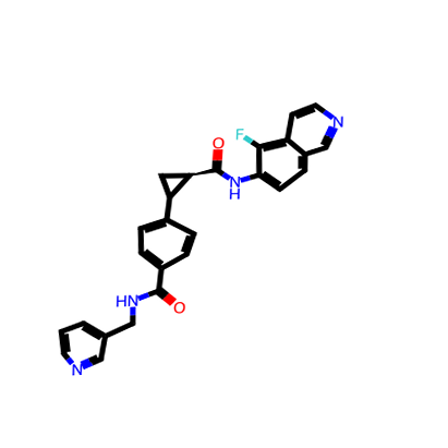 O=C(NCc1cccnc1)c1ccc(C2C[C@H]2C(=O)Nc2ccc3cnccc3c2F)cc1